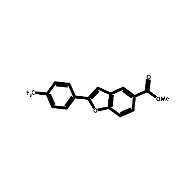 COC(=O)c1ccc2oc(-c3ccc(C(F)(F)F)cc3)cc2c1